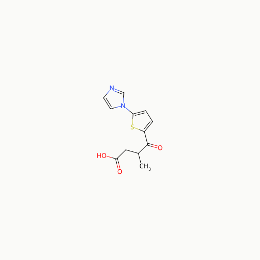 CC(CC(=O)O)C(=O)c1ccc(-n2ccnc2)s1